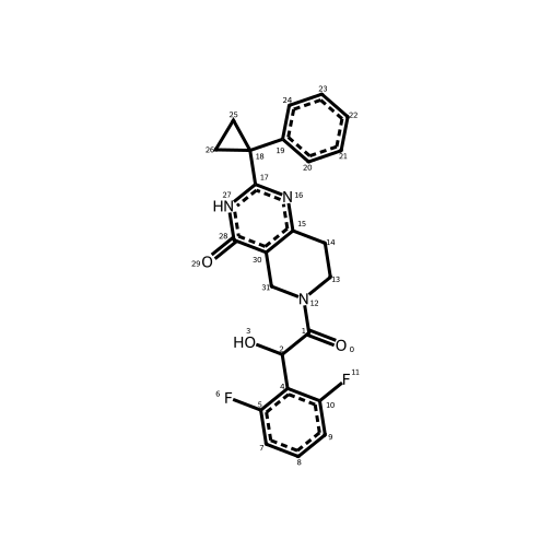 O=C(C(O)c1c(F)cccc1F)N1CCc2nc(C3(c4ccccc4)CC3)[nH]c(=O)c2C1